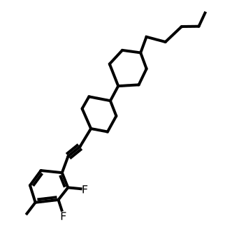 CCCCCC1CCC(C2CCC(C#Cc3ccc(C)c(F)c3F)CC2)CC1